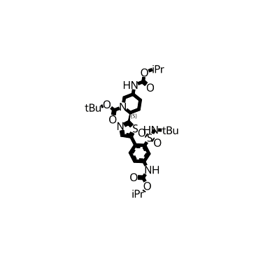 CC(C)OC(=O)Nc1ccc(-c2cnc([C@@H]3CCC(NC(=O)OC(C)C)CN3C(=O)OC(C)(C)C)s2)c(S(=O)(=O)NC(C)(C)C)c1